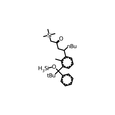 CCCCC(CC(=O)C[Si](C)(C)C)c1cccc(C(O[SiH3])(c2ccccc2)C(C)(C)C)c1C